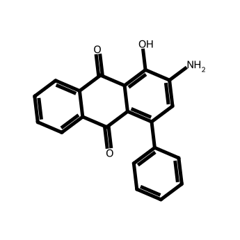 Nc1cc(-c2ccccc2)c2c(c1O)C(=O)c1ccccc1C2=O